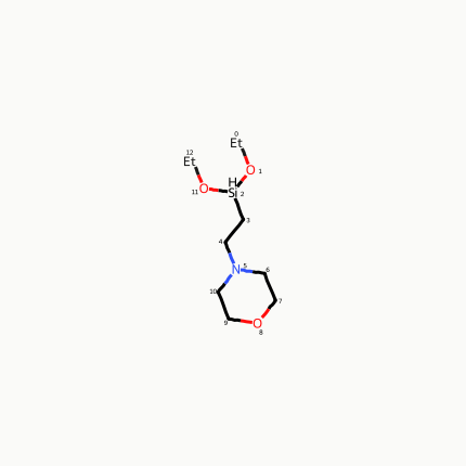 CCO[SiH](CCN1CCOCC1)OCC